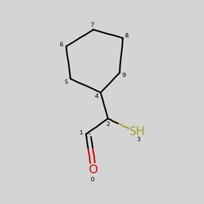 O=[C]C(S)C1CCCCC1